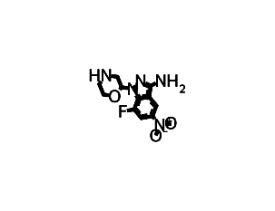 Nc1nn(C2CNCCO2)c2c(F)cc([N+](=O)[O-])cc12